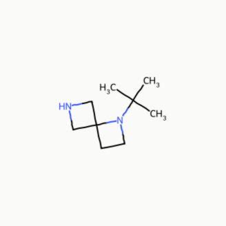 CC(C)(C)N1CCC12CNC2